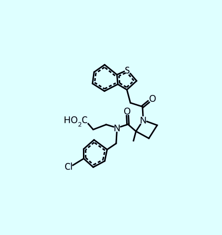 CC1(C(=O)N(CCC(=O)O)Cc2ccc(Cl)cc2)CCN1C(=O)Cc1csc2ccccc12